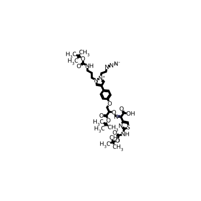 CC(C)(C)OC(=O)NCCCn1cc(-c2ccc(OCC(O/N=C(\C(=O)O)c3csc(NC(=O)OC(C)(C)C)n3)C(=O)OC(C)(C)C)cc2)c[n+]1CCN=[N+]=[N-]